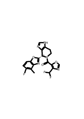 Cc1c(F)ccc2oc([C@@H]3c4nc[nH]c4CCN3C(=O)c3ocnc3C(F)F)nc12